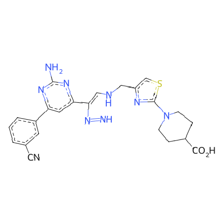 N#Cc1cccc(-c2cc(/C(=C/NCc3csc(N4CCC(C(=O)O)CC4)n3)N=N)nc(N)n2)c1